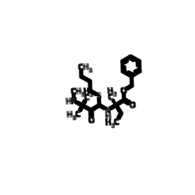 CCCCSC(N[C@@](C)(CC)C(=O)OCc1ccccc1)C(=O)C(C)(C)NC